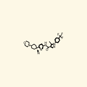 Cc1c(C(=O)Nc2ccc([C@]3(C#N)CC[C@H](N4CCOCC4)CC3)nc2)cnn1-c1ccc(C(F)(F)F)cc1